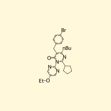 CCCCc1nc(C2CCCC2)n(-c2ncc(OCC)cn2)c(=O)c1Cc1ccc(Br)cc1